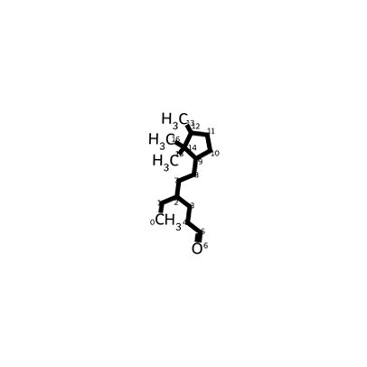 CCC(CCC=O)CCC1CCC(C)C1(C)C